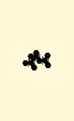 c1ccc(-c2nc(-c3ccccc3)nc(-c3cccc(-c4nc5ccccc5c5c4cc(-c4nc(-c6ccccc6)nc(-c6ccccc6)n4)c4ccccc45)c3)n2)cc1